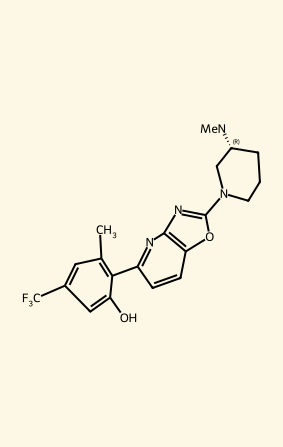 CN[C@@H]1CCCN(c2nc3nc(-c4c(C)cc(C(F)(F)F)cc4O)ccc3o2)C1